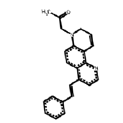 CC(=O)CN1CC=Cc2c1ccc1c(C=Cc3ccccc3)ccnc21